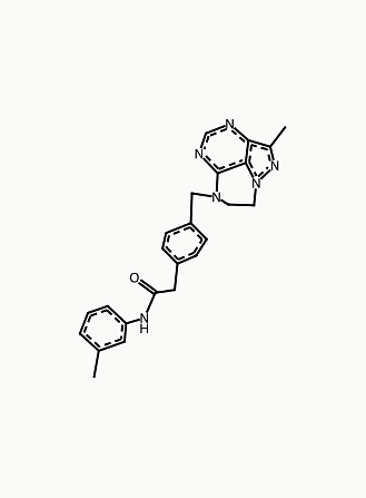 Cc1cccc(NC(=O)Cc2ccc(CN3CCn4nc(C)c5ncnc3c54)cc2)c1